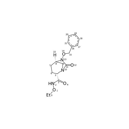 CCONC(=O)[C@@H]1CC[C@@H]2CN1C(=O)N2OCc1ccccc1